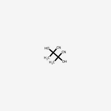 CC(O)(C#N)C(C)(O)C#N